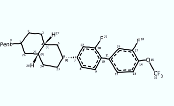 CCCCCC1CC[C@@H]2C[C@H](c3ccc(-c4ccc(OC(F)(F)F)c(F)c4)c(F)c3)CC[C@@H]2C1